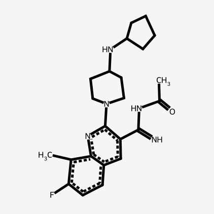 CC(=O)NC(=N)c1cc2ccc(F)c(C)c2nc1N1CCC(NC2CCCC2)CC1